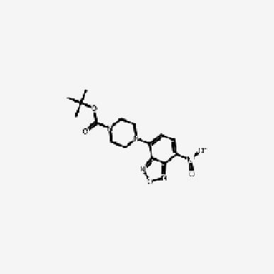 CC(C)(C)OC(=O)N1CCN(c2ccc([N+](=O)[O-])c3nonc23)CC1